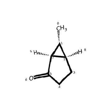 C[C@@H]1[C@H]2CCC(=O)[C@@H]12